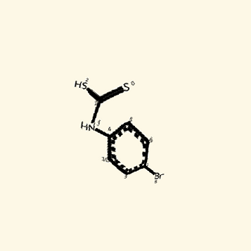 S=C(S)Nc1ccc(Br)cc1